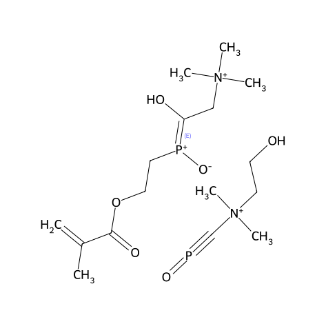 C=C(C)C(=O)OCC/[P+]([O-])=C(\O)C[N+](C)(C)C.C[N+](C)(C#P=O)CCO